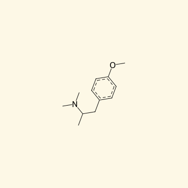 COc1ccc(CC(C)N(C)C)cc1